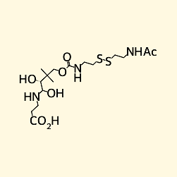 CC(=O)NCCSSCCNC(=O)OCC(C)(C)[C@@H](O)C(O)NCCC(=O)O